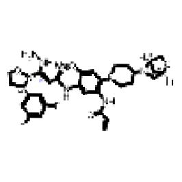 C=CC(=O)Nc1cc(NC(=N)/C=C(\NN)N2OCC[C@@H]2c2cc(F)cc(F)c2)c(OC)cc1N1CCC(N2C[C@H]3C[C@@H]2CO3)CC1